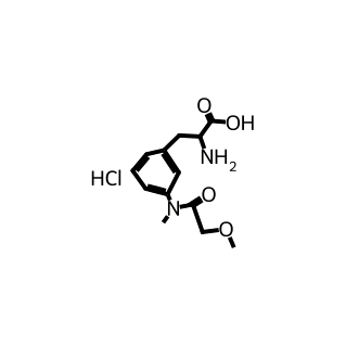 COCC(=O)N(C)c1cccc(CC(N)C(=O)O)c1.Cl